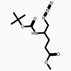 COC(=O)CCC(CN=[N+]=[N-])NC(=O)OC(C)(C)C